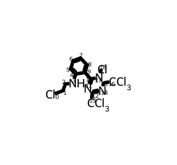 ClCCNc1ccccc1C1=NC(C(Cl)(Cl)Cl)=NC(C(Cl)(Cl)Cl)N1Cl